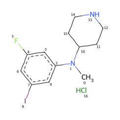 CN(c1cc(F)cc(I)c1)C1CCNCC1.Cl